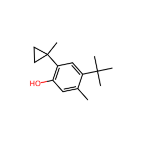 Cc1cc(O)c(C2(C)CC2)cc1C(C)(C)C